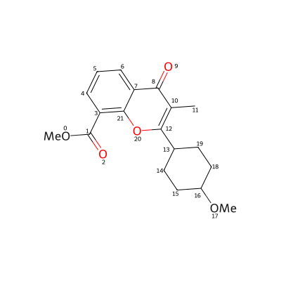 COC(=O)c1cccc2c(=O)c(C)c(C3CCC(OC)CC3)oc12